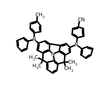 Cc1ccc(N(c2ccccc2)c2cc3c4c(c2)c2cc(N(c5ccccc5)c5ccc(C#N)cc5)cc5c2n4-c2c(cccc2C5(C)C)C3(C)C)cc1